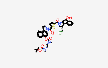 CN(CCN(C)C(=O)OC(C)(C)C)C(=O)Oc1cc2c(c3ccccc13)CCN2C(=O)c1ccc(C(=O)N2C[C@@H](CCl)c3c2cc(O)c2ccccc32)s1